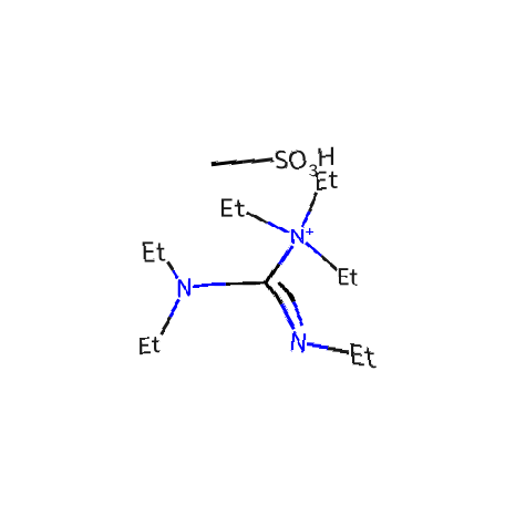 CCN=C(N(CC)CC)[N+](CC)(CC)CC.CS(=O)(=O)O